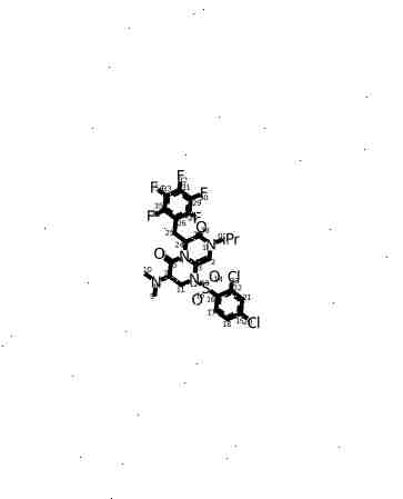 CC(C)N1C=C2N(C(=O)C(N(C)C)CN2S(=O)(=O)c2ccc(Cl)cc2Cl)C(Cc2c(F)c(F)c(F)c(F)c2F)C1=O